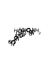 COc1cc(-n2cc(C)c(N3CCO[C@H](C(C)(O)C(=O)Nc4ccc5c(N)noc5c4)C3=O)n2)ccn1